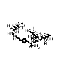 CCC(O)C(O)C(O)C(O)CN(CCCN[C@@H](CCc1ccc(CCCCNC(=N)NC(=O)c2nc(Cl)c(N)nc2N)cc1)C(N)=O)CC(O)C(O)C(O)C(O)CO